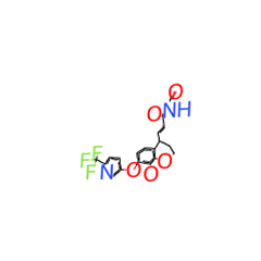 COc1c(Oc2ccc(C(F)(F)F)nc2)ccc2c1OCCC2C=CC(=O)NC=O